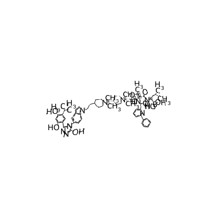 CC(C)C[C@H](NC(=O)[C@@H](NC(=O)c1cccc(-c2ccccc2)n1)[C@@H](C)OC(=O)C(C)(C)N1CCC(C(C)(C)N2CCC(CCn3ccc4cc(-n5c(O)nnc5-c5cc(C(C)C)c(O)cc5O)ccc43)CC2)CC1)B(O)O